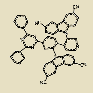 N#Cc1ccc2c(c1)c1cc(C#N)ccc1n2-c1cnccc1-c1ccc(-c2nc(-c3ccccc3)nc(-c3ccccc3)n2)cc1-n1c2ccc(C#N)cc2c2cc(C#N)ccc21